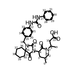 CC(C)CC(C(=O)NC(C)CC(=O)O)N1C(=O)N(Cc2ccc(NC(=O)Nc3ccccc3)cc2)C2(CCCCC2)C1=O